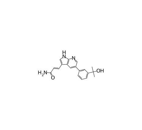 CC(C)(O)c1cccc(-c2cnc3[nH]cc(C=CC(N)=O)c3c2)c1